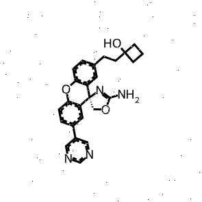 NC1=N[C@]2(CO1)c1cc(CCC3(O)CCC3)ccc1Oc1ccc(-c3cncnc3)cc12